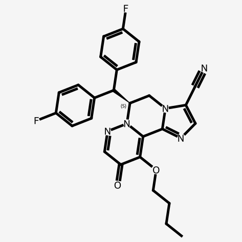 CCCCOc1c2n(ncc1=O)[C@@H](C(c1ccc(F)cc1)c1ccc(F)cc1)Cn1c(C#N)cnc1-2